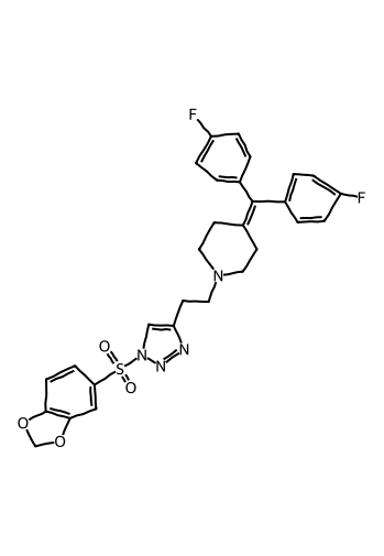 O=S(=O)(c1ccc2c(c1)OCO2)n1cc(CCN2CCC(=C(c3ccc(F)cc3)c3ccc(F)cc3)CC2)nn1